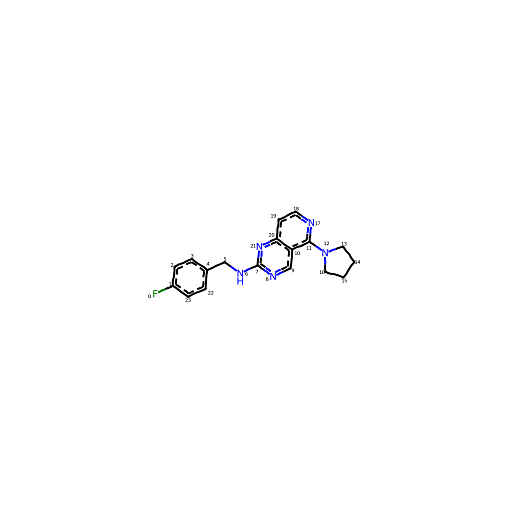 Fc1ccc(CNc2ncc3c(N4CCCC4)nccc3n2)cc1